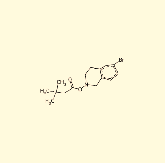 CC(C)(C)CC(=O)ON1CCc2cc(Br)ccc2C1